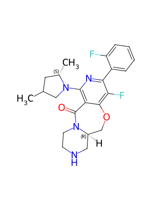 CC1C[C@H](C)N(c2nc(-c3ccccc3F)c(F)c3c2C(=O)N2CCNC[C@@H]2CO3)C1